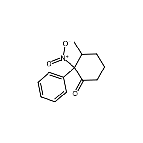 CC1CCCC(=O)C1(c1ccccc1)[N+](=O)[O-]